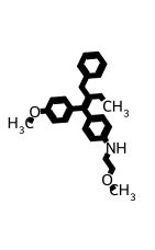 CCC(Cc1ccccc1)=C(c1ccc(NCCOC)cc1)c1ccc(OC)cc1